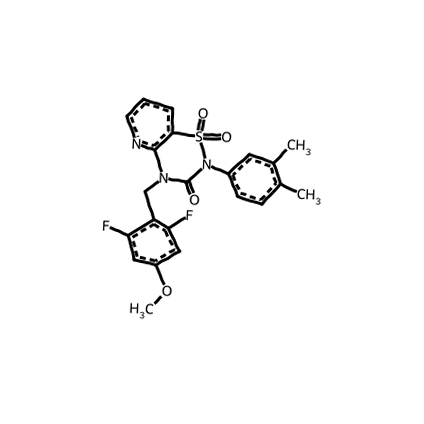 COc1cc(F)c(CN2C(=O)N(c3ccc(C)c(C)c3)S(=O)(=O)c3cccnc32)c(F)c1